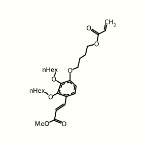 C=CC(=O)OCCCCOc1ccc(/C=C/C(=O)OC)c(OCCCCCC)c1OCCCCCC